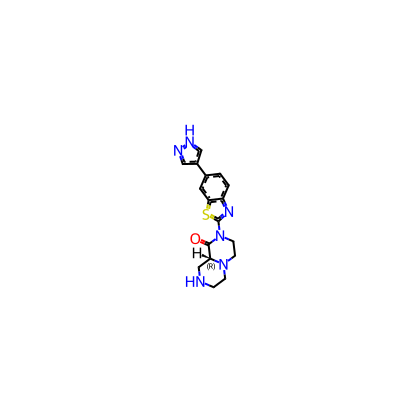 O=C1[C@H]2CNCCN2CCN1c1nc2ccc(-c3cn[nH]c3)cc2s1